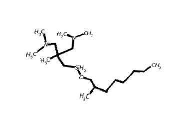 CCCCCCC(C)CO[SiH2]CC(C)(CN(C)C)CN(C)C